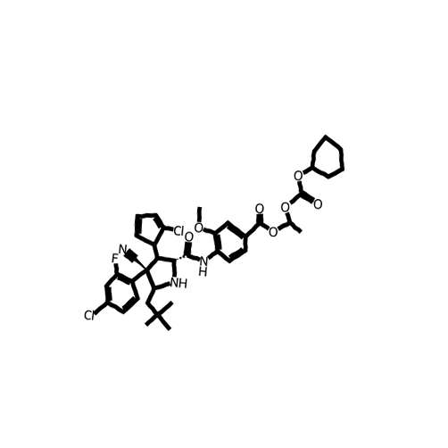 COc1cc(C(=O)OC(C)OC(=O)OC2CCCCC2)ccc1NC(=O)[C@@H]1NC(CC(C)(C)C)[C@](C#N)(c2ccc(Cl)cc2F)C1C1C=CC=C1Cl